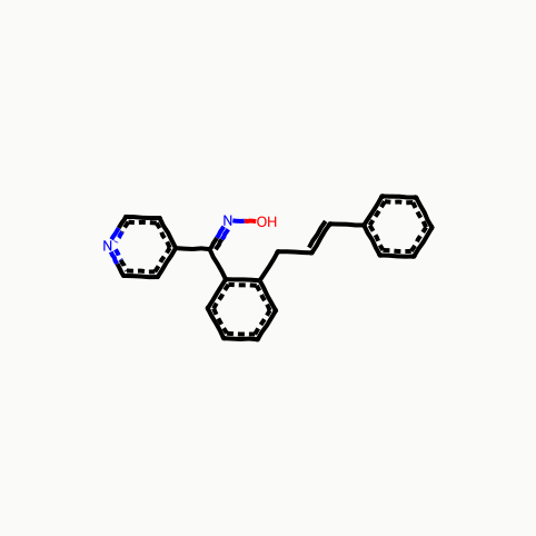 ON=C(c1ccncc1)c1ccccc1CC=Cc1ccccc1